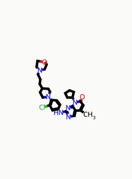 Cc1cc(=O)n(C2CCCC2)c2nc(Nc3ccc(N4CCC(CCCN5CCOCC5)CC4)c(Cl)c3)ncc12